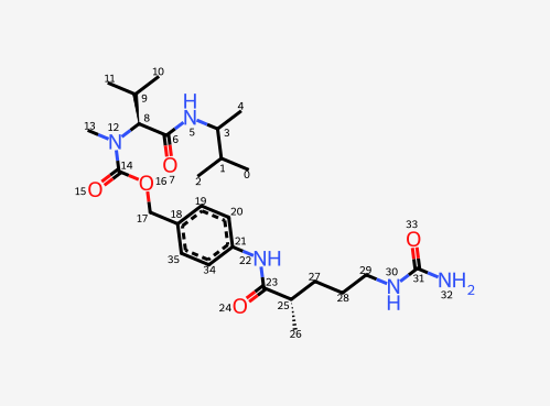 CC(C)C(C)NC(=O)[C@H](C(C)C)N(C)C(=O)OCc1ccc(NC(=O)[C@@H](C)CCCNC(N)=O)cc1